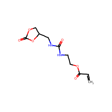 C=CC(=O)OCCNC(=O)NCC1COC(=O)O1